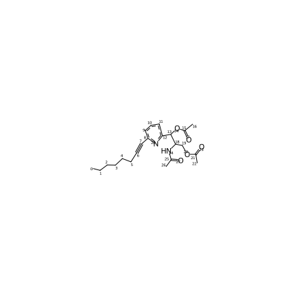 CCCCCCC#Cc1cccc(C(OC(C)=O)C(COC(C)=O)NC(C)=O)n1